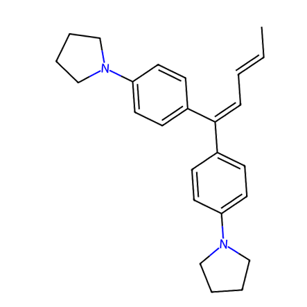 CC=CC=C(c1ccc(N2CCCC2)cc1)c1ccc(N2CCCC2)cc1